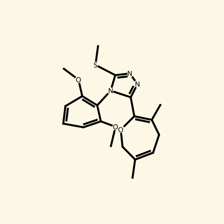 COc1cccc(OC)c1-n1c(SC)nnc1C1=C(C)CC=C(C)CO1